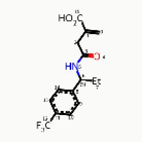 C=C(CC(=O)N[C@@H](CC)c1ccc(C(F)(F)F)cc1)C(=O)O